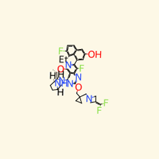 CCc1c(F)ccc2cc(O)cc(-c3nc4c5c(nc(OCC6(CN7CC(=C(F)F)C7)CC6)nc5c3F)N3C[C@H]5CC[C@H](N5)[C@H]3[C@H](C)O4)c12